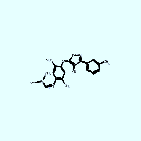 CCCN(C)/C=N\c1cc(C)c(Oc2snc(-c3cccc(C)c3)c2C#N)cc1C